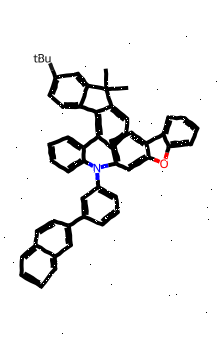 CC(C)(C)c1ccc2c(c1)C(C)(C)c1cccc(-c3ccccc3N(c3cccc(-c4ccc5ccccc5c4)c3)c3ccc4c(c3)oc3ccccc34)c1-2